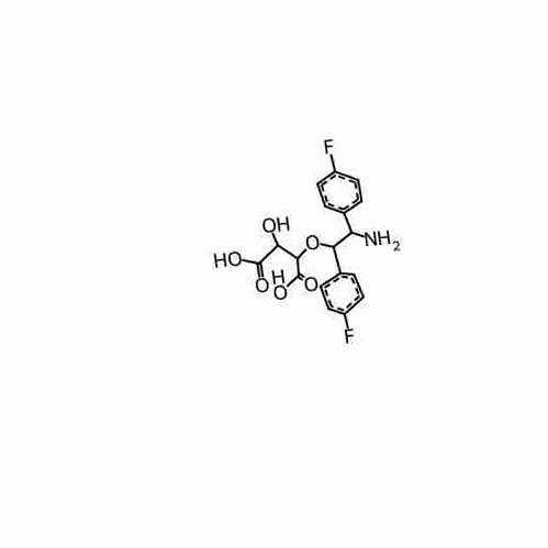 NC(c1ccc(F)cc1)C(OC(C(=O)O)C(O)C(=O)O)c1ccc(F)cc1